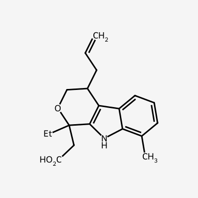 C=CCC1COC(CC)(CC(=O)O)c2[nH]c3c(C)cccc3c21